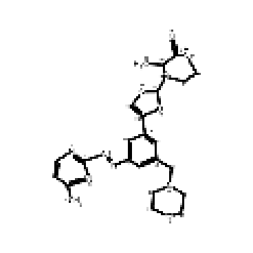 Cc1ccnc(N=Nc2cc(CN3CCOCC3)cc(C3=CNC(N4CCNC(=O)C4C)O3)c2)n1